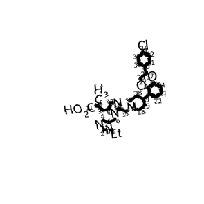 CCn1cncc1Cn1c(C=C(C)C(=O)O)cnc1CN1CCC(c2cccc3c2OCC(c2ccc(Cl)cc2)O3)CC1